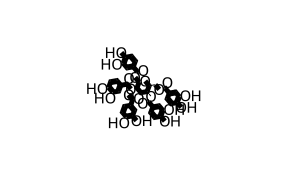 O=C(OC[C@H]1OC(OC(=O)c2ccc(O)c(O)c2)[C@H](OC(=O)c2ccc(O)c(O)c2)[C@@H](OC(=O)c2ccc(O)c(O)c2)[C@H]1OC(=O)c1ccc(O)c(O)c1)c1ccc(O)c(O)c1